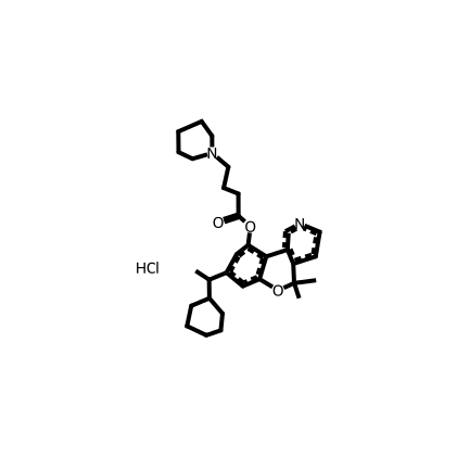 CC(c1cc(OC(=O)CCCN2CCCCC2)c2c(c1)OC(C)(C)c1ccncc1-2)C1CCCCC1.Cl